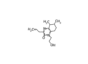 C=CCc1nc2c(n(CCO)c1=O)CCC(C)C2C